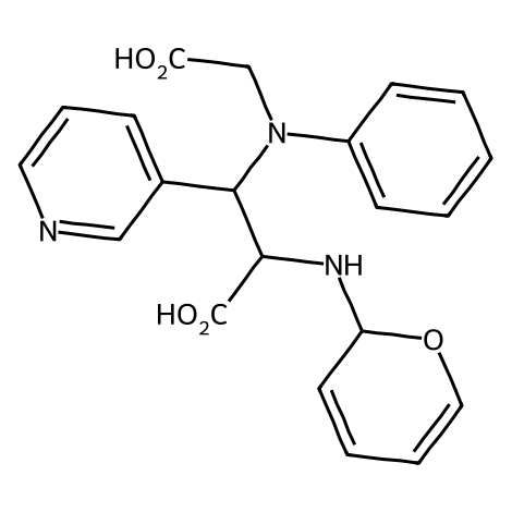 O=C(O)CN(c1ccccc1)C(c1cccnc1)C(NC1C=CC=CO1)C(=O)O